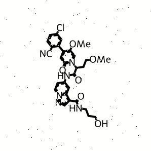 COCCC(C(=O)Nc1ccn2ncc(C(=O)NCCCO)c2c1)n1cc(OC)c(-c2cc(Cl)ccc2C#N)cc1=O